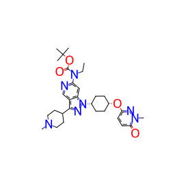 CCN(C(=O)OC(C)(C)C)c1cc2c(cn1)c(C1CCN(C)CC1)nn2[C@H]1CC[C@@H](Oc2ccc(=O)n(C)n2)CC1